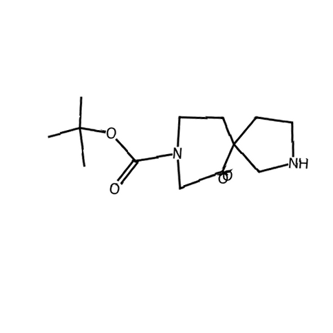 CC(C)(C)OC(=O)N1CCC2(CCNC2)C2(C1)OCCO2